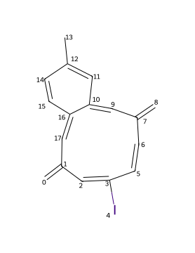 C=c1cc(I)ccc(=C)cc2cc(C)ccc2c1